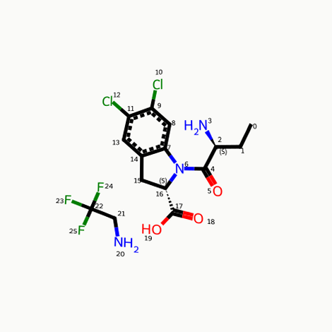 CC[C@H](N)C(=O)N1c2cc(Cl)c(Cl)cc2C[C@H]1C(=O)O.NCC(F)(F)F